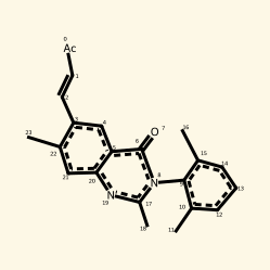 CC(=O)/C=C/c1cc2c(=O)n(-c3c(C)cccc3C)c(C)nc2cc1C